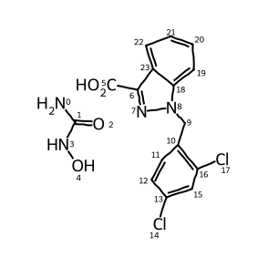 NC(=O)NO.O=C(O)c1nn(Cc2ccc(Cl)cc2Cl)c2ccccc12